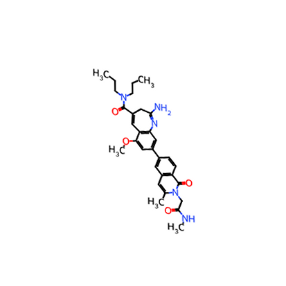 CCCN(CCC)C(=O)C1=Cc2c(cc(-c3ccc4c(=O)n(CC(=O)NC)c(C)cc4c3)cc2OC)N=C(N)C1